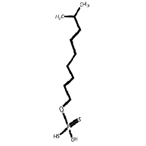 CC(C)CCCCCCCOP(O)(=S)S